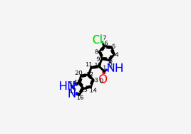 O=C1Nc2ccc(Cl)cc2C1=Cc1ccc2cn[nH]c2c1